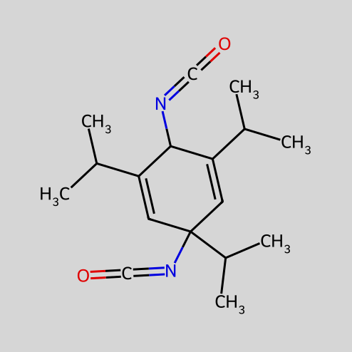 CC(C)C1=CC(N=C=O)(C(C)C)C=C(C(C)C)C1N=C=O